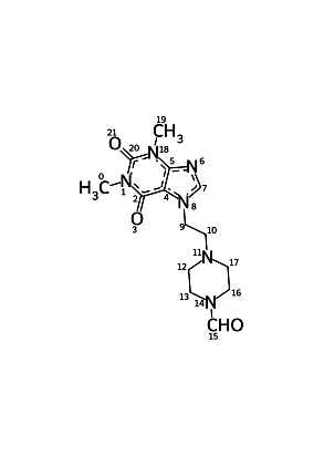 Cn1c(=O)c2c(ncn2CCN2CCN(C=O)CC2)n(C)c1=O